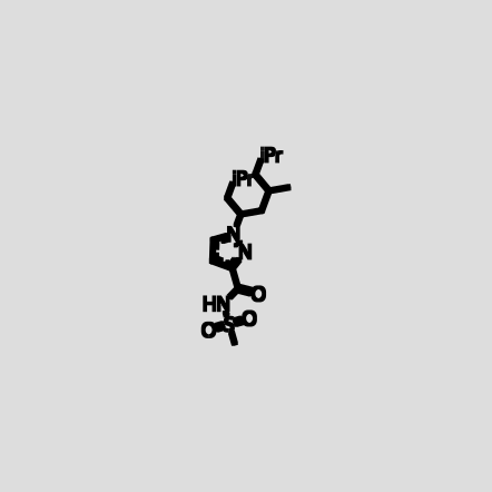 CC(C)CC(C)CC(CC(C)C)n1ccc(C(=O)NS(C)(=O)=O)n1